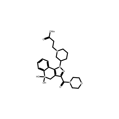 COC(=O)CCN1CCCC(n2nc(C(=O)N3CCOCC3)c3c2-c2ccccc2S(O)(O)C3)C1